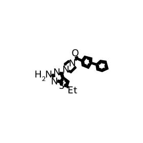 CCc1cc2c(N3CCN(C(=O)c4ccc(-c5ccccc5)cc4)CC3)nc(N)nc2s1